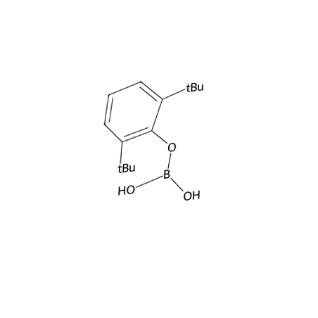 CC(C)(C)c1cccc(C(C)(C)C)c1OB(O)O